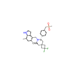 COc1cc(C)c2[nH]ccc2c1CN1CCC2(C[C@H]1c1ccc(CS(C)(=O)=O)cc1)CC(F)(F)C2